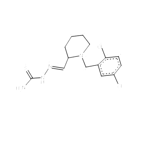 NC(=S)N/N=C/C1CCCCN1Cc1cc(Cl)ccc1Cl